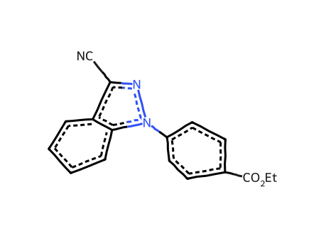 CCOC(=O)c1ccc(-n2nc(C#N)c3ccccc32)cc1